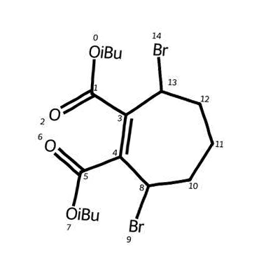 CC(C)COC(=O)C1=C(C(=O)OCC(C)C)C(Br)CCCC1Br